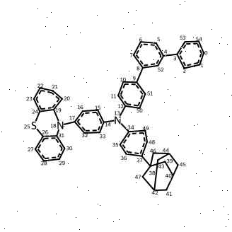 c1ccc(-c2cccc(-c3ccc(N(c4ccc(N5c6ccccc6Sc6ccccc65)cc4)c4ccc(C56CC7CC(CC(C7)C5)C6)cc4)cc3)c2)cc1